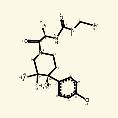 C[C](C)CNC(=O)N[C@@H](C(=O)N1CC[C@](O)(c2ccc(Cl)cc2)C(C)(C)C1)C(C)C